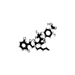 CCCCCN(CC(=O)c1c(Cl)cccc1Cl)C(=O)c1cnn([C@H]2CC[C@H](C(=O)O)[C@H](C)C2)c1C(F)(F)F